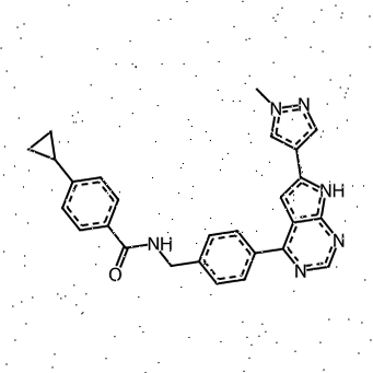 Cn1cc(-c2cc3c(-c4ccc(CNC(=O)c5ccc(C6CC6)cc5)cc4)ncnc3[nH]2)cn1